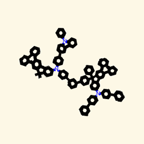 CC1(C)c2ccc(N(c3ccc(-c4cccc(-c5ccc(C6(c7ccccc7)c7ccc(N(c8ccc(-c9ccccc9)cc8)c8ccc(-c9ccccc9)cc8)cc7-c7cc8c9ccccc9c9ccccc9c8cc76)cc5)c4)cc3)c3ccc(-c4ccc5c(c4)c4ccccc4n5-c4ccccc4)cc3)cc2-c2cc3c4ccccc4c4ccccc4c3cc21